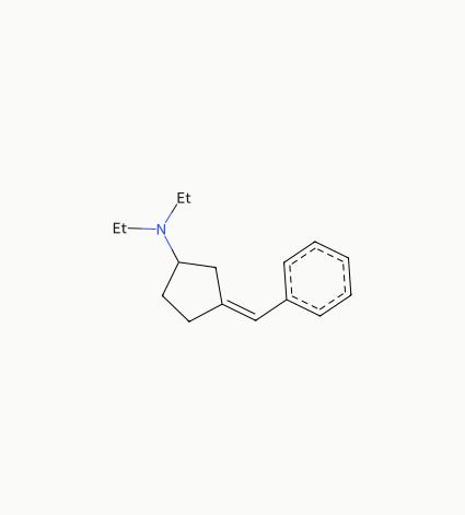 CCN(CC)C1CCC(=Cc2ccccc2)C1